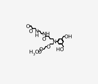 COOCCOCCN(CCCC(=O)NCCNCC(=O)C=O)c1cc(CO)cc(CO)c1